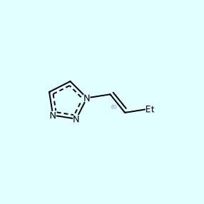 CC/C=C/n1ccnn1